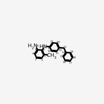 Cc1cccc(N)c1Nc1ccc(Cc2ccccc2)cc1